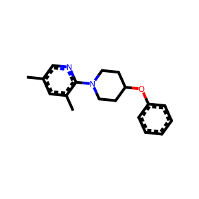 Cc1cnc(N2CCC(Oc3ccccc3)CC2)c(C)c1